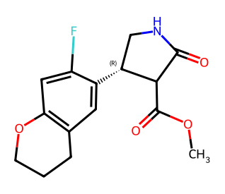 COC(=O)C1C(=O)NC[C@H]1c1cc2c(cc1F)OCCC2